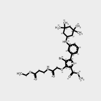 CCOC(=O)CCNC(=O)COc1c(C(=O)OC)sc(-c2cccc(NC3CC(C)(C)CC(C)(C)C3)c2)c1Br